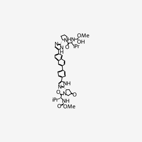 COC(=O)N[C@H](C(=O)N1CC(=O)C[C@H]1c1ncc(-c2ccc(-c3ccc4cc(-c5cnc([C@@H]6CCCN6C(=O)C(NC(O)OC)C(C)C)[nH]5)ccc4c3)cc2)[nH]1)C(C)C